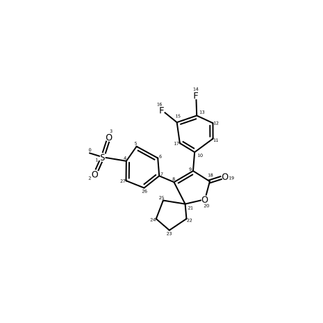 CS(=O)(=O)c1ccc(C2=C(c3ccc(F)c(F)c3)C(=O)OC23CCCC3)cc1